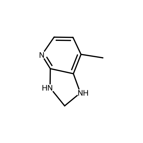 Cc1ccnc2c1NCN2